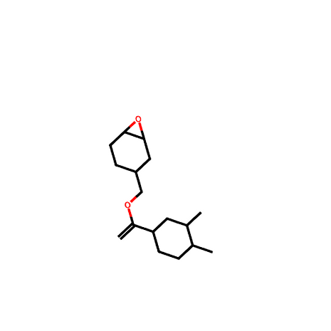 C=C(OCC1CCC2OC2C1)C1CCC(C)C(C)C1